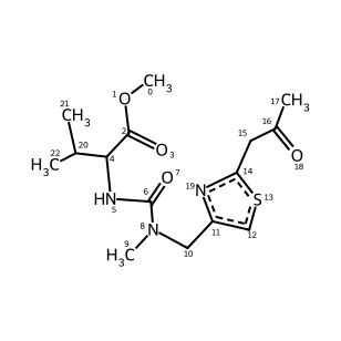 COC(=O)C(NC(=O)N(C)Cc1csc(CC(C)=O)n1)C(C)C